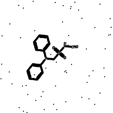 O=CNS(=O)(=O)CP(c1ccccc1)c1ccccc1